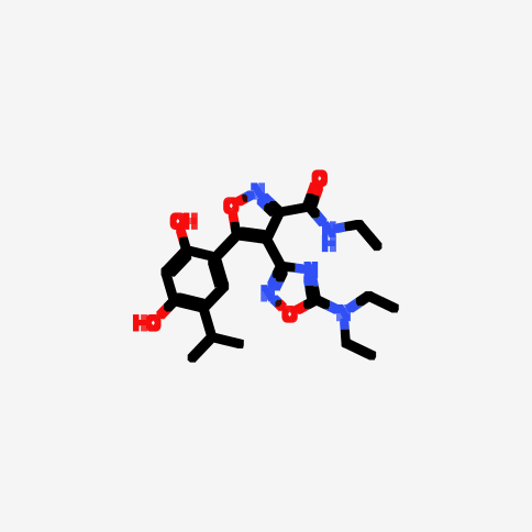 CCNC(=O)c1noc(-c2cc(C(C)C)c(O)cc2O)c1-c1noc(N(CC)CC)n1